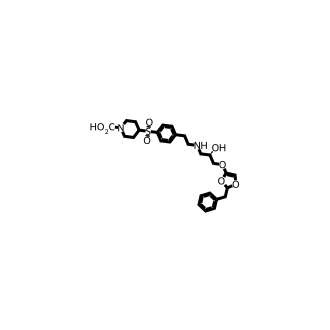 O=C(O)N1CCC(S(=O)(=O)c2ccc(CCNC[C@H](O)COC3=COC(Cc4ccccc4)O3)cc2)CC1